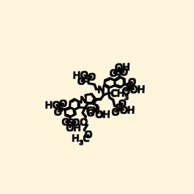 COCCOCCC1(C)C(=CC=CC2N(CCCS(=O)(=O)O)c3ccc4c(S(=O)(=O)O)cc(S(=O)(=O)O)cc4c3C2(C)CCCS(=O)(=O)O)N(CCCCCC(=O)O)c2ccc3c(S(=O)(=O)O)cc(S(=O)(=O)O)cc3c21